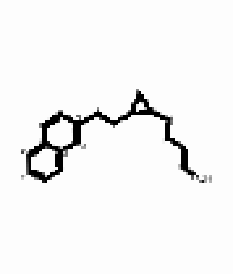 OC=CCCC1CC1CCc1ccc2ccccc2c1